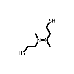 CN(CCS)N(C)CCS